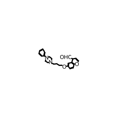 O=CC1C=COc2ccc(OCCCCN3CCN(c4ccccc4)CC3)cc21